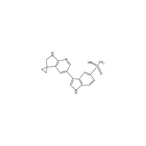 CS(=N)(=O)c1ccc2[nH]cc(-c3cnc4c(c3)C3(CC3)CN4)c2c1